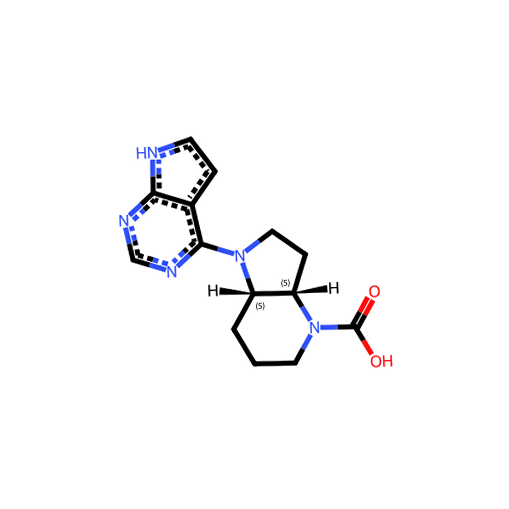 O=C(O)N1CCC[C@H]2[C@@H]1CCN2c1ncnc2[nH]ccc12